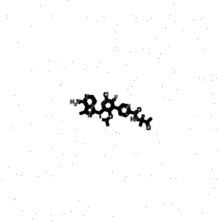 CC(=O)C(C)(C)NC(=O)c1ccc(-c2c(F)c(Cl)cc([C@H](C)c3nc(C)c4c(N)nccn34)c2OC(C)C)cn1